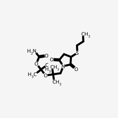 CCCSC1CC(=O)N(CC(C)(C)OC(C)(C)OC(N)=O)C1=O